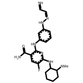 CNC1CCCCC1Nc1nc(Nc2cccc(N/N=C\C=N)c2)c(C(N)=O)cc1F